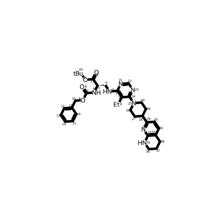 CCc1c(NC[C@H](NC(=O)OCc2ccccc2)C(=O)OC(C)(C)C)ncnc1N1CCC(c2ccc3c(n2)NCCC3)CC1